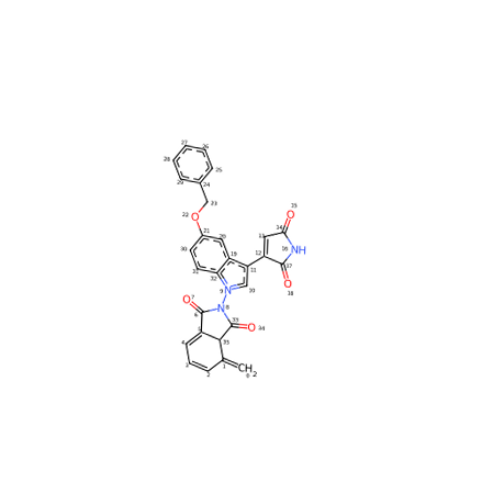 C=C1C=CC=C2C(=O)N(n3cc(C4=CC(=O)NC4=O)c4cc(OCc5ccccc5)ccc43)C(=O)C12